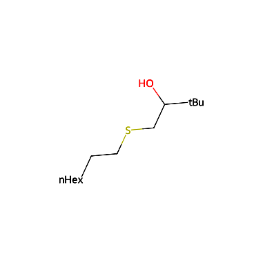 CCCCCCCCSCC(O)C(C)(C)C